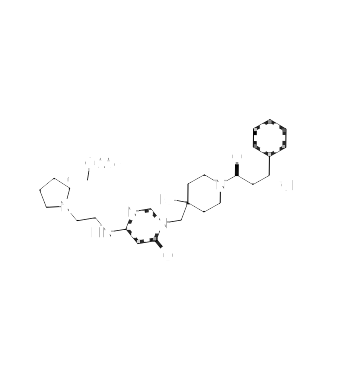 COC[C@H]1CCCN1CCNc1cc(=O)n(CC2(O)CCN(C(=O)C[C@@H](C)c3ccccc3)CC2)cn1